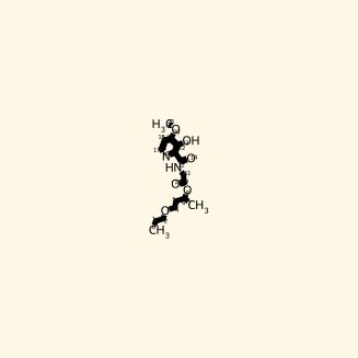 CCCOCCC(C)OC(=O)CNC(=O)c1nccc(OC)c1O